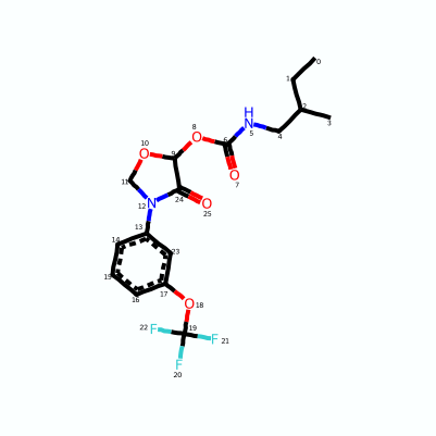 CCC(C)CNC(=O)OC1OCN(c2cccc(OC(F)(F)F)c2)C1=O